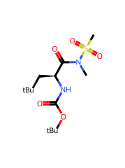 CN(C(=O)[C@H](CC(C)(C)C)NC(=O)OC(C)(C)C)S(C)(=O)=O